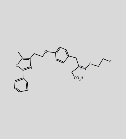 Cc1oc(-c2ccccc2)nc1CCOc1ccc(C/C(CC(=O)O)=N\OCCF)cc1